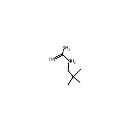 CC(C)(C)C[SiH2]C(=N)N